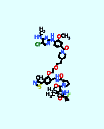 CNc1nc(Nc2ccc(C(=O)N3CCC(CCOCCOc4cc(-c5scnc5C)ccc4CNC(=O)[C@@H]4CCCN4C(=O)[C@@H](NC(=O)C4(F)CC4)C(C)(C)C)CC3)cc2OC)ncc1Cl